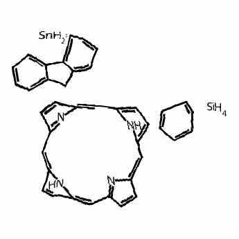 C1=Cc2cc3ccc(cc4nc(cc5ccc(cc1n2)[nH]5)C=C4)[nH]3.[SiH4].[SnH2].c1ccc2c(c1)Cc1ccccc1-2.c1ccccc1